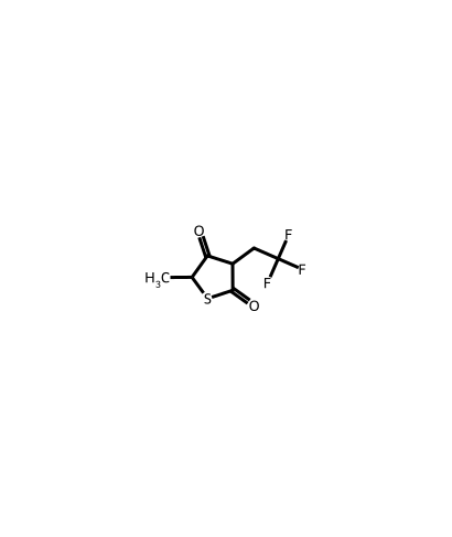 CC1SC(=O)C(CC(F)(F)F)C1=O